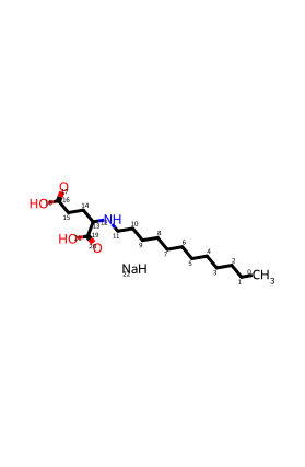 CCCCCCCCCCCCNC(CCC(=O)O)C(=O)O.[NaH]